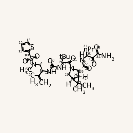 C=C(C)[C@@H](CN(C)S(=O)(=O)c1cccs1)NC(=O)N[C@H](C(=O)N1C[C@H]2[C@@H]([C@H]1C(=O)NC(CCC)C(=O)C(N)=O)C2(C)C)C(C)(C)C